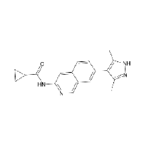 Cc1n[nH]c(C)c1-c1ccc2cc(NC(=O)C3CC3)ncc2c1